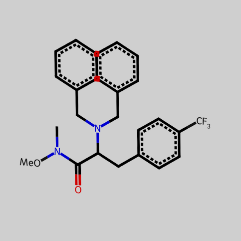 CON(C)C(=O)C(Cc1ccc(C(F)(F)F)cc1)N(Cc1ccccc1)Cc1ccccc1